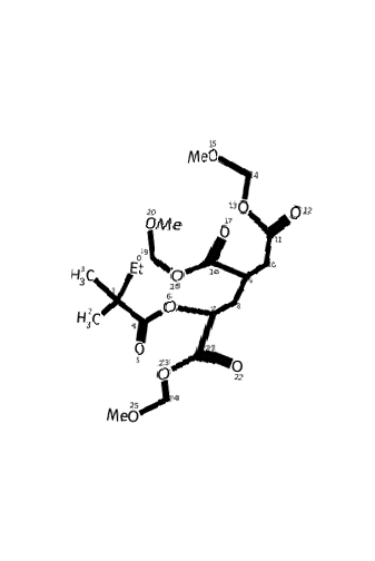 CCC(C)(C)C(=O)OC(CC(CC(=O)OCOC)C(=O)OCOC)C(=O)OCOC